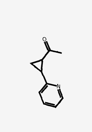 CC(=O)C1CC1c1ccccn1